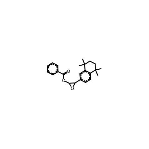 CC1(C)CCC(C)(C)c2cc(C3OC3OC(=O)c3ccccc3)ccc21